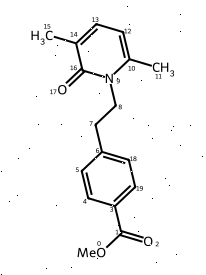 COC(=O)c1ccc(CCn2c(C)ccc(C)c2=O)cc1